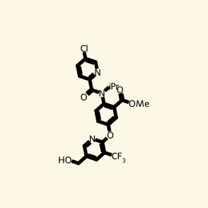 COC(=O)c1cc(Oc2ncc(CO)cc2C(F)(F)F)ccc1N(C(=O)c1ccc(Cl)cn1)C(C)C